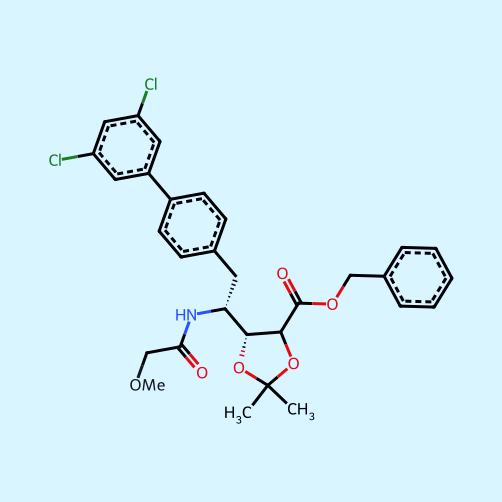 COCC(=O)N[C@H](Cc1ccc(-c2cc(Cl)cc(Cl)c2)cc1)[C@H]1OC(C)(C)OC1C(=O)OCc1ccccc1